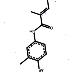 C/C=C(\C)C(=O)Nc1ccc(C(C)C)c(C)c1